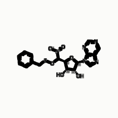 O=[N+]([O-])C(OSCc1ccccc1)[C@H]1O[C@@H](n2cnc3cncnc32)[C@H](O)[C@@H]1O